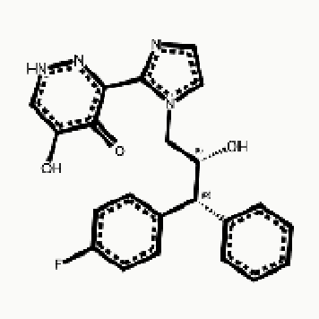 O=c1c(O)c[nH]nc1-c1nccn1C[C@H](O)[C@H](c1ccccc1)c1ccc(F)cc1